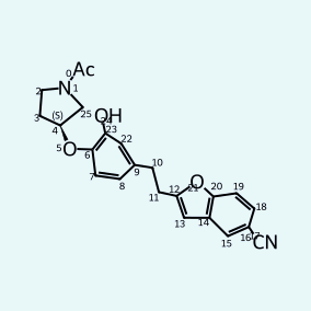 CC(=O)N1CC[C@H](Oc2ccc(CCc3cc4cc(C#N)ccc4o3)cc2O)C1